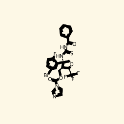 O=C(NC(=S)N[C@]1(c2cc(Br)ccc2F)CO[C@@H](C(F)(F)F)[C@H]1COC(=O)n1ccnc1)c1ccccc1